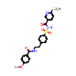 CCOc1ccc(C(=O)NCCc2ccc(S(=O)(=O)NC(=O)c3ccc(C(=O)O)nc3)cc2)cc1